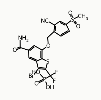 CS(=O)(=O)c1ccc(COc2cc(C(N)=O)cc3c(Br)c(C(F)(F)P(=O)(O)O)sc23)c(C#N)c1